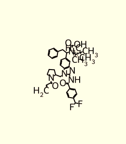 C=CC(=O)N1CCCC1Cn1c(NC(=O)c2ccc(C(F)F)cc2)nc2cc(C(Cc3ccccc3)N(C(=O)O)[C@@H](C)C(C)(C)C)ccc21